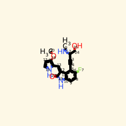 CNC(C#Cc1c(F)ccc2c1C(=Cc1[nH]ccc1OC)C(=O)N2)CO